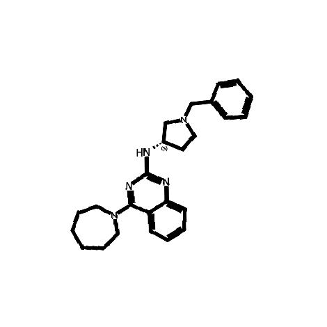 c1ccc(CN2CC[C@H](Nc3nc(N4CCCCCC4)c4ccccc4n3)C2)cc1